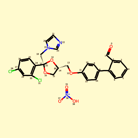 O=Cc1ccccc1-c1ccc(OC[C@@H]2CO[C@@](Cn3ccnc3)(c3ccc(Cl)cc3Cl)O2)cc1.O=[N+]([O-])O